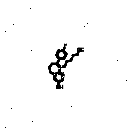 OCCCCCC1=C(c2ccc(F)cc2)CCCc2cc(O)ccc21